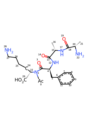 CC(=O)N(C(=O)[C@H](Cc1ccccc1)NC(=O)[C@H](C)NC(=O)[C@H](C)N)[C@@H](CCCCN)C(=O)O